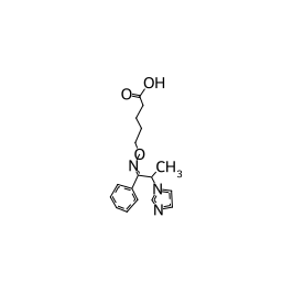 CC(C(=NOCCCCC(=O)O)c1ccccc1)n1ccnc1